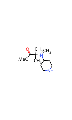 COC(=O)C(C)(C)N(C)C1CCNCC1